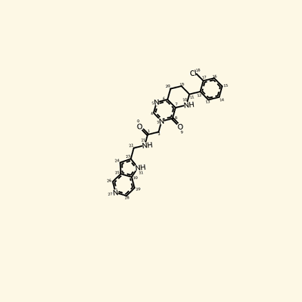 O=C(Cn1cnc2c(c1=O)NC(c1ccccc1Cl)CC2)NCc1cc2cnccc2[nH]1